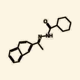 CC(=NNC(=O)C1CCCCC1)c1ccc2ccccc2c1